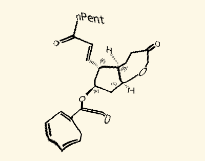 CCCCCC(=O)C=C[C@@H]1[C@H]2CC(=O)O[C@H]2C[C@H]1OC(=O)c1ccccc1